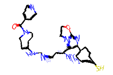 N/C(=C\C=N/CNC1CCN(C(=O)c2ccncc2)CC1)c1c(C2=CC=C(S)CC2)nc2n1CCO2